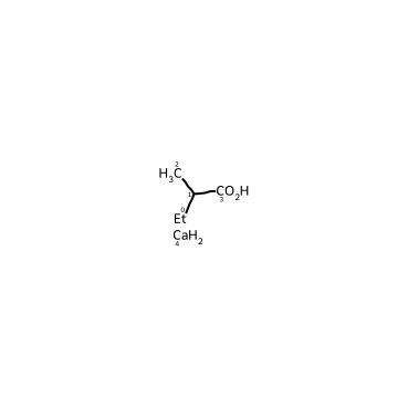 CCC(C)C(=O)O.[CaH2]